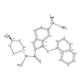 CN(C(=O)c1cc2ccc(C(=N)N)cc2n1Cc1cccc2ccccc12)[C@H]1CC[C@H](N)CC1